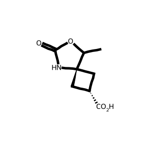 CC1OC(=O)N[C@]12C[C@@H](C(=O)O)C2